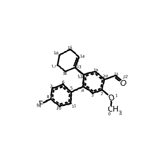 COc1cc(-c2ccc(F)cc2)c(C2=CCCCC2)cc1C=O